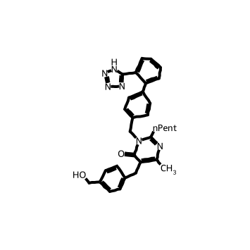 CCCCCc1nc(C)c(Cc2ccc(CO)cc2)c(=O)n1Cc1ccc(-c2ccccc2-c2nnn[nH]2)cc1